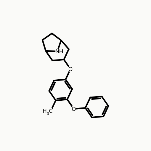 Cc1ccc(OC2CC3CCC(C2)N3)cc1Oc1ccccc1